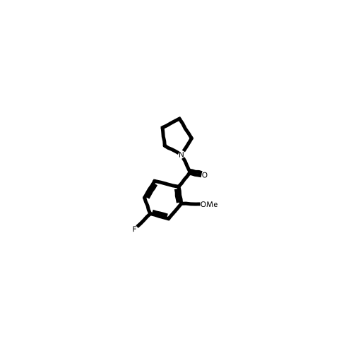 COc1cc(F)ccc1C(=O)N1CCCC1